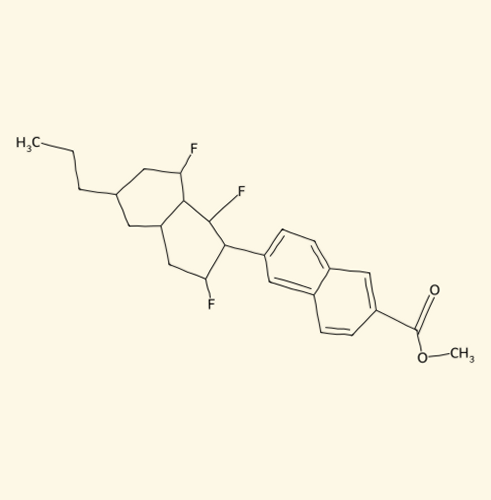 CCCC1CC(F)C2C(C1)CC(F)C(c1ccc3cc(C(=O)OC)ccc3c1)C2F